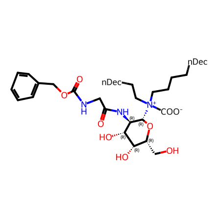 CCCCCCCCCCCCCC[N+](CCCCCCCCCCCC)(C(=O)[O-])[C@@H]1O[C@H](CO)[C@H](O)[C@H](O)[C@H]1NC(=O)CNC(=O)OCc1ccccc1